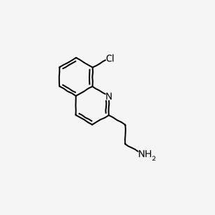 NCCc1ccc2cccc(Cl)c2n1